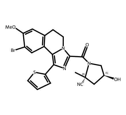 COc1cc2c(cc1Br)-c1c(-c3cccs3)nc(C(=O)N3C[C@@H](O)C[C@]3(C)C#N)n1CC2